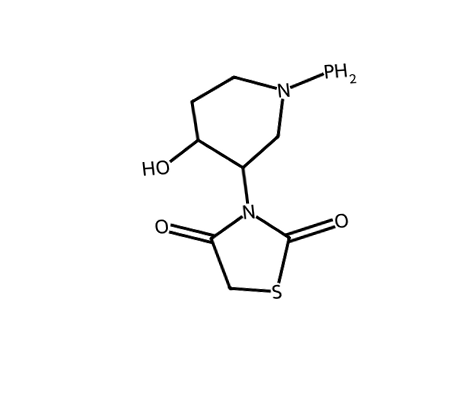 O=C1CSC(=O)N1C1CN(P)CCC1O